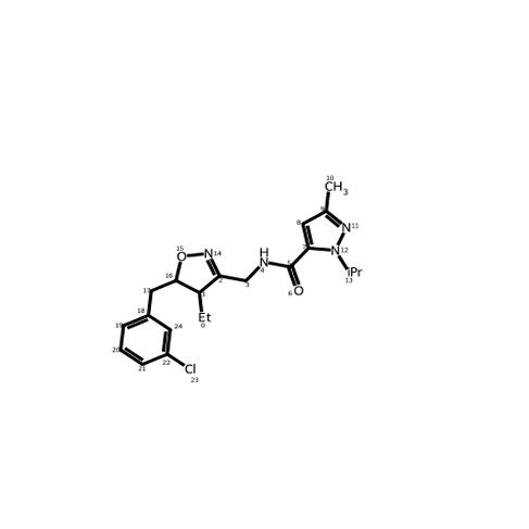 CCC1C(CNC(=O)c2cc(C)nn2C(C)C)=NOC1Cc1cccc(Cl)c1